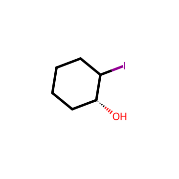 O[C@@H]1CCCCC1I